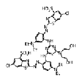 CCN(CC)c1ccc(/N=N/c2nc3c(S(=O)(=O)O)cc(Cl)cc3s2)c(Nc2nc(Nc3cc(N(CC)CC)ccc3/N=N/c3nc4c(S(=O)(=O)O)cc(Cl)cc4s3)nc(N(CCO)CCO)n2)c1